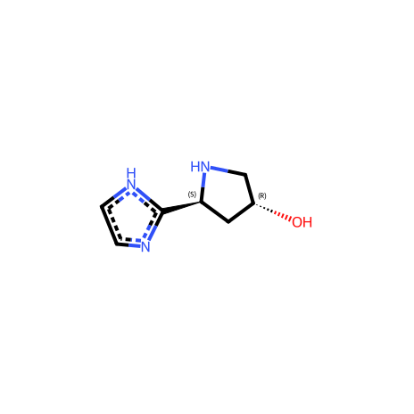 O[C@H]1CN[C@H](c2ncc[nH]2)C1